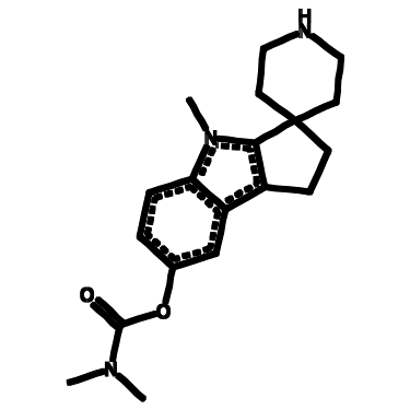 CN(C)C(=O)Oc1ccc2c(c1)c1c(n2C)C2(CCNCC2)CC1